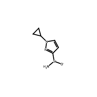 N[S+]([O-])c1ccn(C2CC2)n1